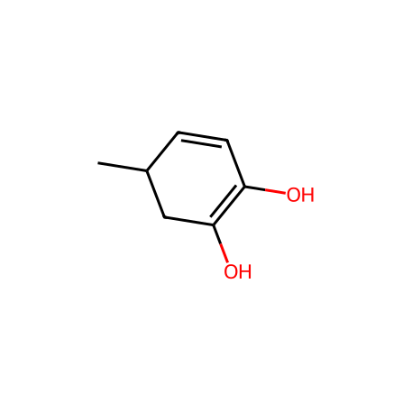 CC1C=CC(O)=C(O)C1